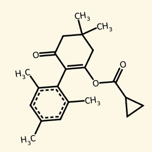 Cc1cc(C)c(C2=C(OC(=O)C3CC3)CC(C)(C)CC2=O)c(C)c1